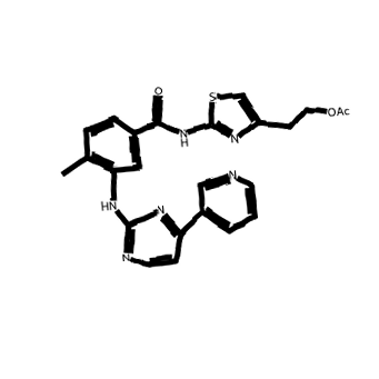 CC(=O)OCCc1csc(NC(=O)c2ccc(C)c(Nc3nccc(-c4cccnc4)n3)c2)n1